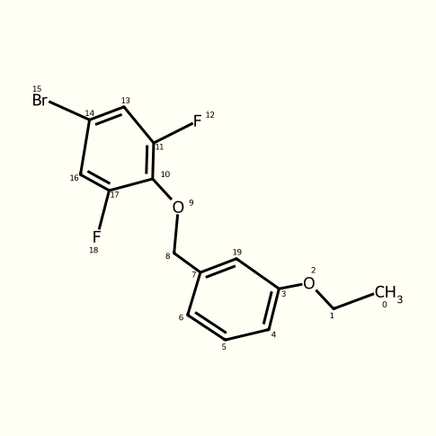 CCOc1cccc(COc2c(F)cc(Br)cc2F)c1